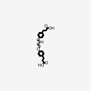 O=C(O)CCc1ccc(OP=NPOc2ccc(CCC(=O)O)cc2)cc1